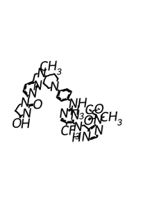 CN(Cc1ccc(N2CCC(=O)NC2=O)nn1)C1CCN(c2ccc(Nc3ncc(C(F)(F)F)c(NCc4nccnc4N(C)S(C)(=O)=O)n3)cc2)CC1